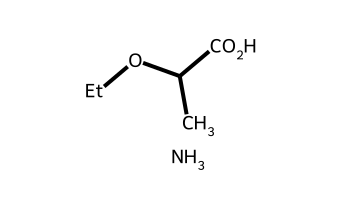 CCOC(C)C(=O)O.N